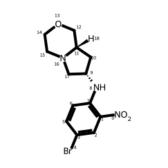 O=[N+]([O-])c1cc(Br)ccc1N[C@H]1C[C@H]2COCCN2C1